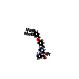 COc1ccc(COc2ccc(CN3CCN(c4ncccc4C(=O)OC(C)C)CC3)cc2)cc1OC